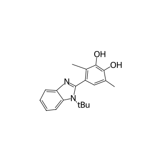 Cc1cc(-c2nc3ccccc3n2C(C)(C)C)c(C)c(O)c1O